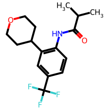 CC(C)C(=O)Nc1ccc(C(F)(F)F)cc1C1CCOCC1